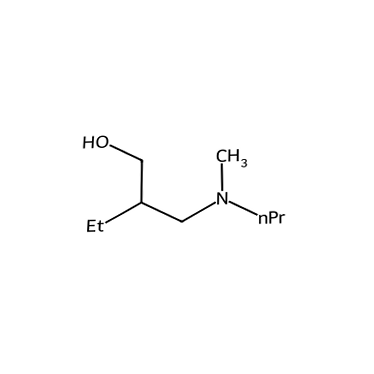 CCCN(C)CC(CC)CO